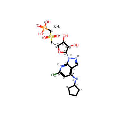 C[C@@H](P(=O)(O)O)S(=O)(=O)C[C@H]1O[C@@H](n2ncc3c(NC4CCCC4)cc(Cl)nc32)[C@H](O)[C@@H]1O